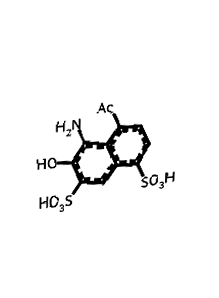 CC(=O)c1ccc(S(=O)(=O)O)c2cc(S(=O)(=O)O)c(O)c(N)c12